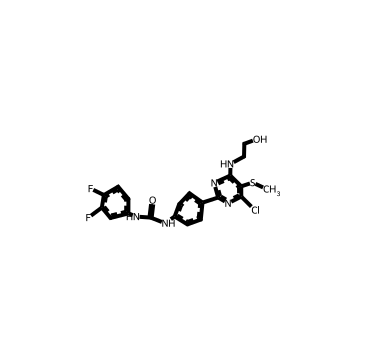 CSc1c(Cl)nc(-c2ccc(NC(=O)Nc3ccc(F)c(F)c3)cc2)nc1NCCO